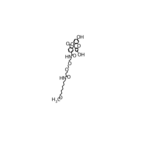 COCCCCCCCCNC(=O)CCOCCOCCNC(=O)c1ccc2c(c1)C1(OC2=O)c2ccc(O)cc2Oc2cc(O)ccc21